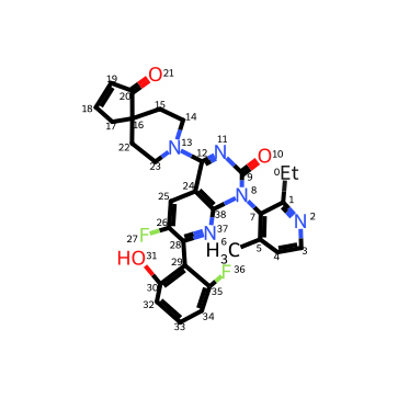 CCc1nccc(C)c1-n1c(=O)nc(N2CCC3(CC=CC3=O)CC2)c2cc(F)c(-c3c(O)cccc3F)nc21